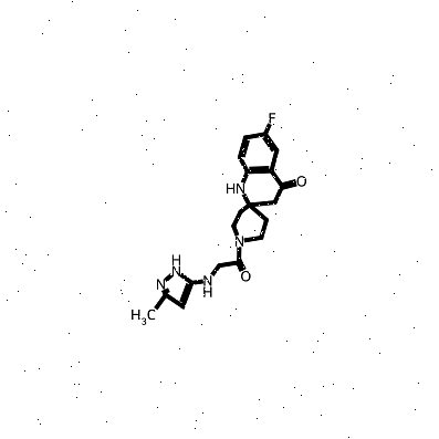 Cc1cc(NCC(=O)N2CCC3(CC2)CC(=O)c2cc(F)ccc2N3)[nH]n1